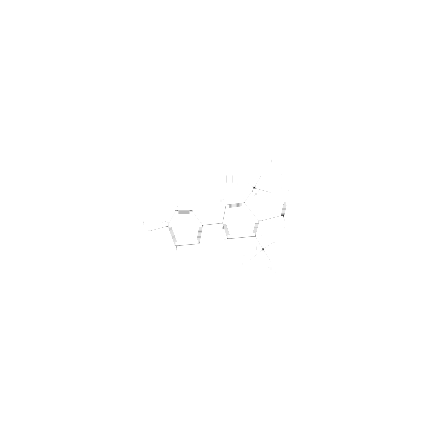 CC(=O)c1c(C(C)(C)C)cc(-c2ccc(O)cc2)cc1C(C)(C)C